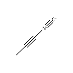 [C-]#[N+]C#CC